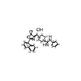 Cl.N=C(Nc1cccs1)N1CCN(C=C2N=C(c3cccc4ccccc34)OC2=O)CC1